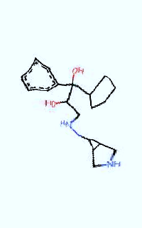 OC(CNC1C2CNCC21)C(O)(c1ccccc1)C1CCCC1